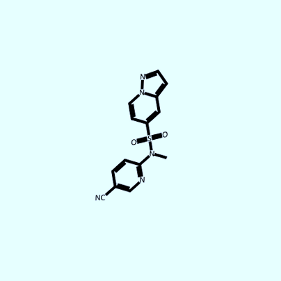 CN(c1ccc(C#N)cn1)S(=O)(=O)c1ccn2nccc2c1